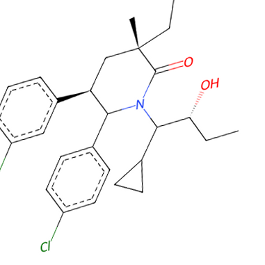 CC[C@@H](O)C(C1CC1)N1C(=O)[C@@](C)(CC(=O)O)C[C@H](c2cccc(Cl)c2)C1c1ccc(Cl)cc1